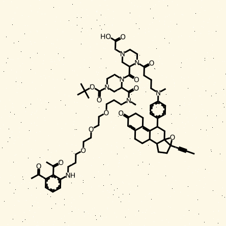 CC#CC12CCC3C4CCC5=CC(=O)CCC5=C4C(c4ccc(N(C)CCCC(=O)N5CCN(CC(=O)O)CC5C(=O)N5CCN(C(=O)OC(C)(C)C)CC5C(=O)N(C)CCCOCCOCCOCCCNc5cccc(C(C)=O)c5C(C)=O)cc4)CC31O2